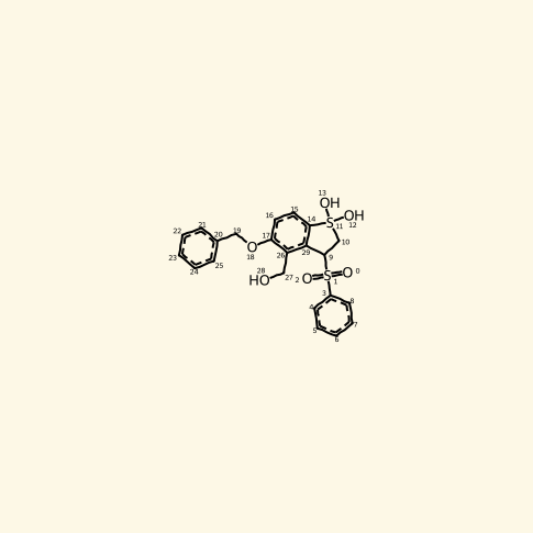 O=S(=O)(c1ccccc1)C1CS(O)(O)c2ccc(OCc3ccccc3)c(CO)c21